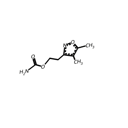 Cc1onc(CCOC(N)=O)c1C